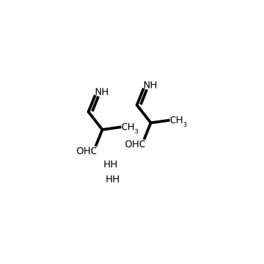 CC(C=N)C=O.CC(C=N)C=O.[HH].[HH]